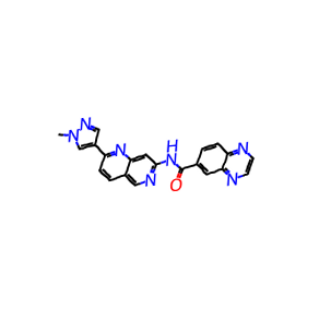 Cn1cc(-c2ccc3cnc(NC(=O)c4ccc5nccnc5c4)cc3n2)cn1